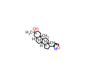 C[C@@]1(O)CC[C@@]2(C)[C@@H](CC[C@@H]3[C@@H]2CC[C@]2(C)C(c4ccon4)CC[C@@H]32)C1